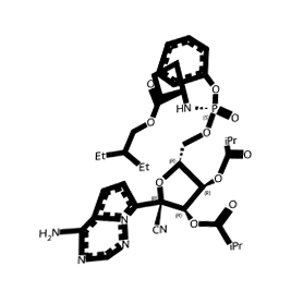 CCC(CC)COC(=O)C1(N[P@](=O)(OC[C@H]2O[C@@](C#N)(c3ccc4c(N)ncnn34)[C@H](OC(=O)C(C)C)[C@@H]2OC(=O)C(C)C)Oc2ccccc2)CCC1